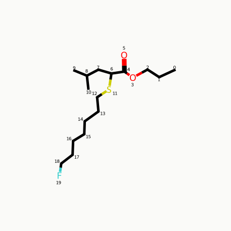 CCCOC(=O)C(CC(C)C)SCCCCCCCF